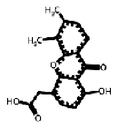 Cc1ccc2c(=O)c3c(O)ccc(CC(=O)O)c3oc2c1C